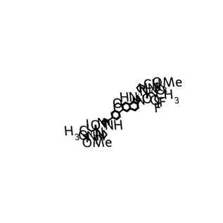 COC(=O)N[C@H](C(=O)N1[C@@H](I)CC[C@H]1c1ncc(-c2ccc3c(c2)COc2cc4c(ccc5nc([C@@H]6CC[C@H](C)N6C(=O)[C@@H](NC(=O)OC)[C@@H](C)OC(F)F)[nH]c54)cc2-3)[nH]1)C(C)I